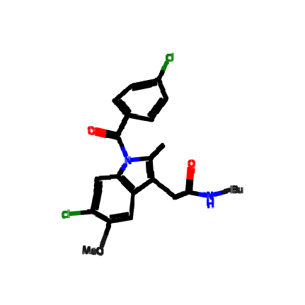 CCC(C)NC(=O)Cc1c(C)n(C(=O)c2ccc(Cl)cc2)c2cc(Cl)c(OC)cc12